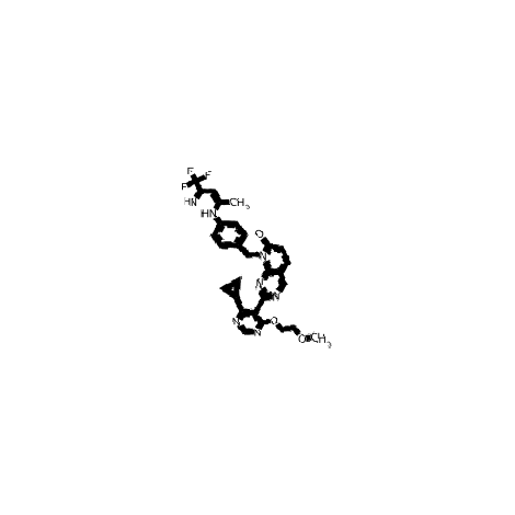 COCCOc1ncnc(C2CC2)c1-c1ncc2ccc(=O)n(Cc3ccc(N/C(C)=C\C(=N)C(F)(F)F)cc3)c2n1